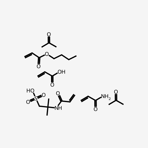 C=CC(=O)NC(C)(C)CS(=O)(=O)O.C=CC(=O)O.C=CC(=O)OCCCC.C=CC(N)=O.CC(C)=O.CC(C)=O